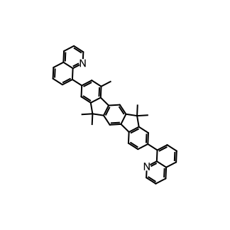 Cc1cc(-c2cccc3cccnc23)cc2c1-c1cc3c(cc1C2(C)C)-c1ccc(-c2cccc4cccnc24)cc1C3(C)C